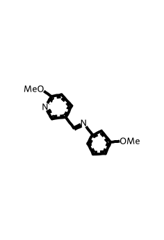 COc1cccc(/N=C/c2ccc(OC)nc2)c1